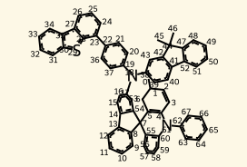 CC1C=CC2=C(C1)C1(c3ccccc3-c3ccc(N(c4ccc(-c5cccc6c5sc5ccccc56)cc4)c4ccc5c(c4)C(C)(C)c4ccccc4-5)cc31)c1ccccc1N2c1ccccc1